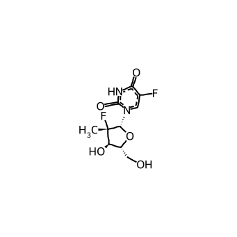 C[C@]1(F)[C@H](O)[C@@H](CO)O[C@H]1n1cc(F)c(=O)[nH]c1=O